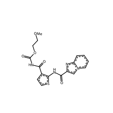 COCCOC(=O)NC(=O)c1ccsc1NC(=O)c1cn2ccccc2n1